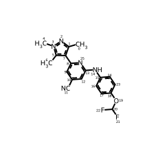 Cc1nn(C)c(C)c1-c1cc(C#N)cc(Nc2ccc(OC(F)F)cc2)n1